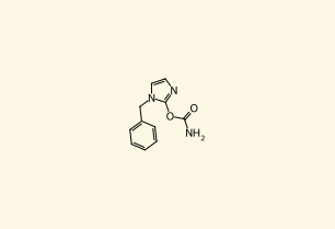 NC(=O)Oc1nccn1Cc1ccccc1